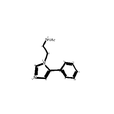 CC(=O)NCCn1cncc1-c1ccccc1